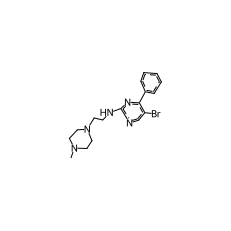 CN1CCN(CCNc2ncc(Br)c(-c3ccccc3)n2)CC1